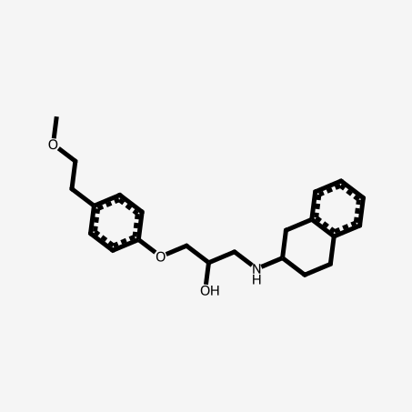 COCCc1ccc(OCC(O)CNC2CCc3ccccc3C2)cc1